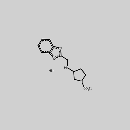 Br.CCOC(=O)N1CCC(NCc2nc3ccccc3s2)C1